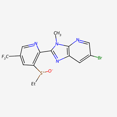 CC[S+]([O-])c1cc(C(F)(F)F)cnc1-c1nc2cc(Br)cnc2n1C